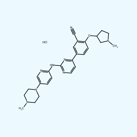 CN1CCN(c2ccc(Nc3nccc(-c4ccc(OC5CCN(C)C5)c(C#N)c4)n3)nc2)CC1.Cl